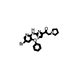 O=C(CN1CCCC1)c1csc(Nc2ncc(Br)cc2Oc2ccccc2)n1